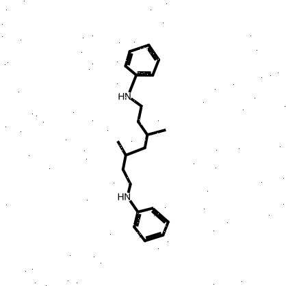 CC(CCNc1ccccc1)CC(C)CCNc1ccccc1